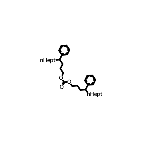 CCCCCCCC(CCCOC(=O)OCCCC(CCCCCCC)c1ccccc1)c1ccccc1